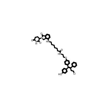 O=C(CCCCCCNc1cccc2c1CN(C1CCC(=O)NC1=O)C2=O)NCCOc1ccc(C(=C(CCCl)c2ccccc2)c2ccc(O)cc2)cc1